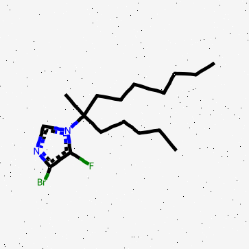 CCCCCCCC(C)(CCCCC)n1cnc(Br)c1F